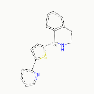 c1ccc(-c2ccc([C@H]3NCCc4ccccc43)s2)nc1